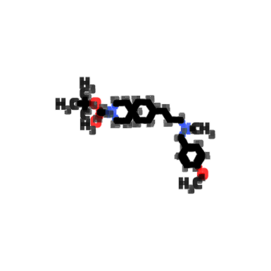 COc1ccc(CN(C)CCCC2CCC3(CC2)CCN(C(=O)OC(C)(C)C)CC3)cc1